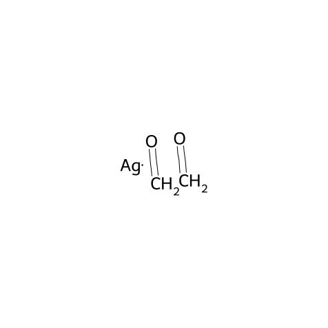 C=O.C=O.[Ag]